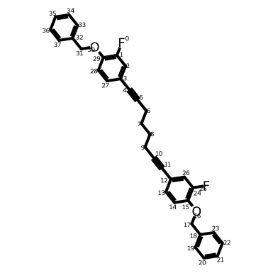 Fc1cc(C#CCCCCC#Cc2ccc(OCc3ccccc3)c(F)c2)ccc1OCc1ccccc1